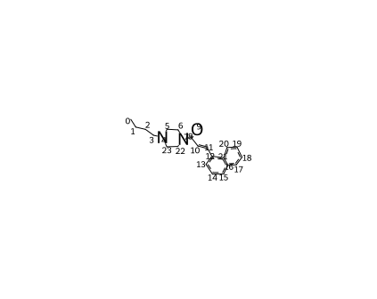 CCCCN1CCN(C(=O)C=Cc2cccc3ccccc23)CC1